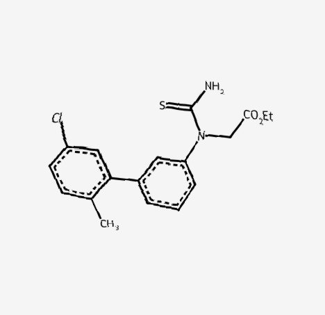 CCOC(=O)CN(C(N)=S)c1cccc(-c2cc(Cl)ccc2C)c1